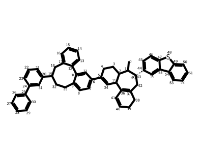 CC1C2CCC(c3ccc4c(c3)-c3ccccc3CC(c3cccc(-c5ccccc5)c3)CC4)=CC2C2=C(CCC=C2)C[C@H]1c1ccc2sc3ccccc3c2c1